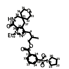 CCn1nc(CC(C)COC(=O)c2cccc(S(=O)(=O)N3CCCC3)c2)c2c1C(=O)NCC1(CCOCC1)C2